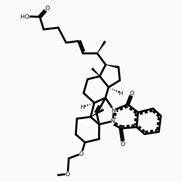 COCOC1CC[C@]2(C)[C@H]3CC[C@]4(C)[C@@H]([C@H](C)C=CCCCC(=O)O)CC[C@H]4C34C=CC2(C1)n1c(=O)c2ccccc2c(=O)n14